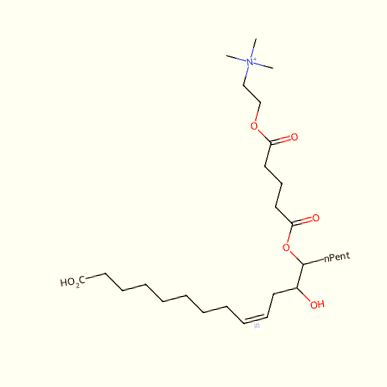 CCCCCC(OC(=O)CCCC(=O)OCC[N+](C)(C)C)C(O)C/C=C\CCCCCCCC(=O)O